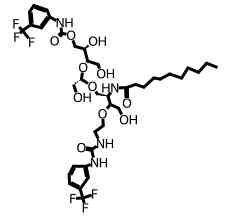 CCCCCCCCCCC(=O)N[C@H](CO[C@H](CO)OC(CO)[C@H](O)COC(=O)Nc1cccc(C(F)(F)F)c1)C(CO)OCCNC(=O)Nc1cccc(C(F)(F)F)c1